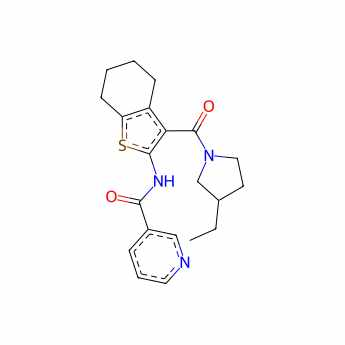 CCC1CCN(C(=O)c2c(NC(=O)c3cccnc3)sc3c2CCCC3)C1